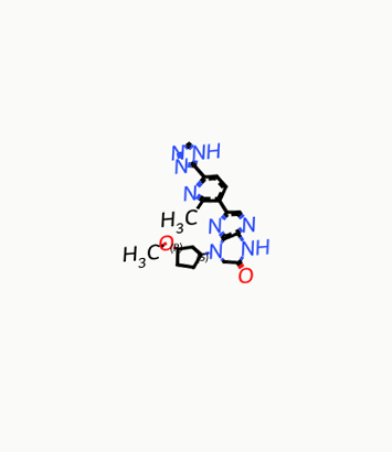 CO[C@@H]1CC[C@H](N2CC(=O)Nc3ncc(-c4ccc(-c5nnc[nH]5)nc4C)nc32)C1